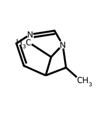 CC1C2C=CN=CN1C2C